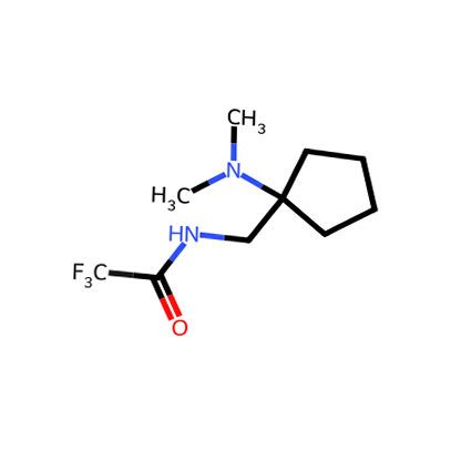 CN(C)C1(CNC(=O)C(F)(F)F)CCCC1